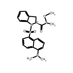 CON(C)C(=O)[C@@H]1Cc2ccccc2N1S(=O)(=O)c1cccc2c(N(C)C)cccc12